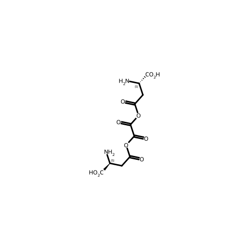 N[C@@H](CC(=O)OC(=O)C(=O)OC(=O)C[C@H](N)C(=O)O)C(=O)O